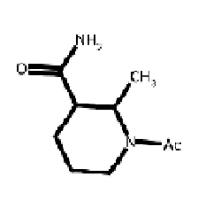 CC(=O)N1CCCC(C(N)=O)C1C